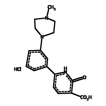 CN1CCN(c2cccc(-c3ccc(C(=O)O)c(=O)[nH]3)c2)CC1.Cl